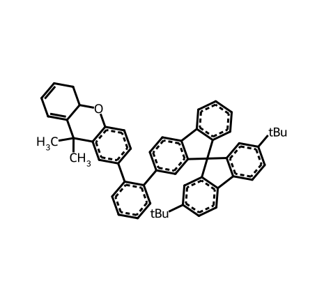 CC(C)(C)c1ccc2c(c1)C1(c3ccccc3-c3ccc(-c4ccccc4-c4ccc5c(c4)C(C)(C)C4=CC=CCC4O5)cc31)c1cc(C(C)(C)C)ccc1-2